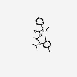 CO[C@H](C(=O)O[C@H](C)[C@H](c1cc(C)ccc1C)C(C)C)c1ccccc1